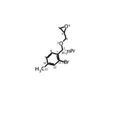 CCC[C@@H](OCC1CO1)c1ccc(C)cc1Br